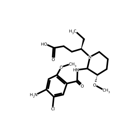 CC[C@H](CCC(=O)O)N1CCC[C@H](OC)C1NC(=O)c1cc(Cl)c(N)cc1OC